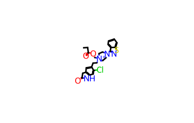 CCC(=O)OC[N+]1(CCc2cc3c(cc2Cl)NC(=O)C3)CCN(c2nsc3ccccc23)CC1